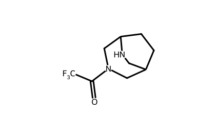 O=C(N1CC2CCC(C1)NC2)C(F)(F)F